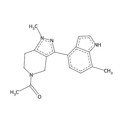 CC(=O)N1CCc2c(c(-c3ccc(C)c4[nH]ccc34)nn2C)C1